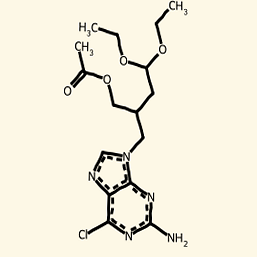 CCOC(CC(COC(C)=O)Cn1cnc2c(Cl)nc(N)nc21)OCC